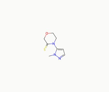 Cn1nccc1N1CCOCC1=S